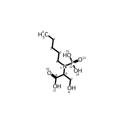 CCCCCN(C(CO)C(=O)O)P(=O)(O)O